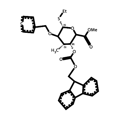 CCS[C@@H]1OC(C(=O)OC)[C@H](OC(=O)OCC2c3ccccc3-c3ccccc32)[C@H](C)C1OCc1ccccc1